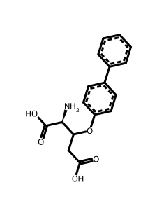 N[C@H](C(=O)O)C(CC(=O)O)Oc1ccc(-c2ccccc2)cc1